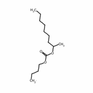 [CH2]CCCOC(=O)OC(C)CCCCCCC